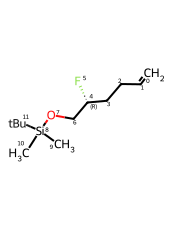 C=CCC[C@@H](F)CO[Si](C)(C)C(C)(C)C